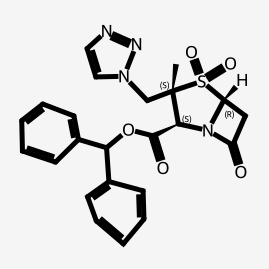 C[C@]1(Cn2ccnn2)[C@H](C(=O)OC(c2ccccc2)c2ccccc2)N2C(=O)C[C@H]2S1(=O)=O